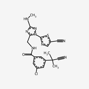 CNc1nc(CNC(=O)c2cc(Cl)cc(C(C)(C)C#N)c2)n(-c2ncc(C#N)s2)n1